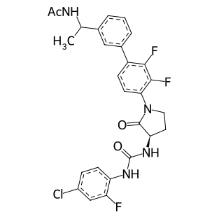 CC(=O)NC(C)c1cccc(-c2ccc(N3CC[C@@H](NC(=O)Nc4ccc(Cl)cc4F)C3=O)c(F)c2F)c1